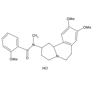 COc1cc2c(cc1OC)C1CC(N(C)C(=O)c3ccccc3OC)CCN1CC2.Cl